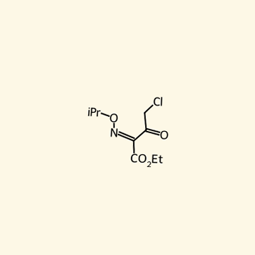 CCOC(=O)C(=NOC(C)C)C(=O)CCl